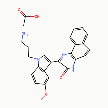 CC(=O)O.COc1ccc2c(c1)c(-c1nc3c(ccc4ccccc43)[nH]c1=O)cn2CCCN